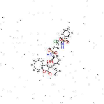 O=c1oc2c(c(O)c1C(c1cccc(NS(=O)(=O)CCC(Cl)NS(=O)(=O)c3ccccc3)c1)C1CC1)CCCCCC2